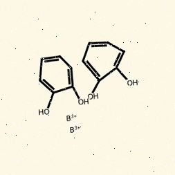 Oc1ccccc1O.Oc1ccccc1O.[B+3].[B+3]